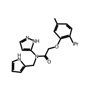 Cc1ccc(C(C)C)c(OCC(=O)N(Cc2ccc[nH]2)c2ccn[nH]2)c1